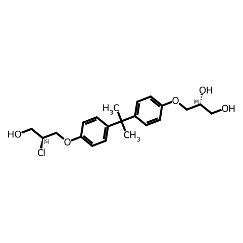 CC(C)(c1ccc(OC[C@H](O)CO)cc1)c1ccc(OC[C@@H](Cl)CO)cc1